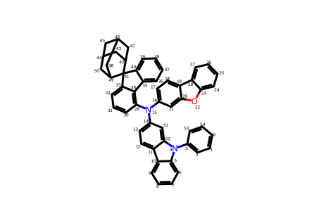 c1ccc(-n2c3ccccc3c3ccc(N(c4ccc5c(c4)oc4ccccc45)c4cccc5c4-c4ccccc4C54C5CC6CC(C5)CC4C6)cc32)cc1